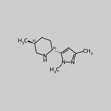 Cc1cc([C@H]2CC[C@H](C)CN2)n(C)n1